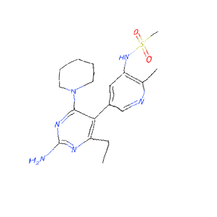 CCc1nc(N)nc(N2CCCCC2)c1-c1cnc(C)c(NS(C)(=O)=O)c1